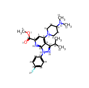 COC(=O)c1cc(N2CCC(N(C)C)CC2)c2c(C(C)C)nn(-c3ccc(F)cc3)c2n1